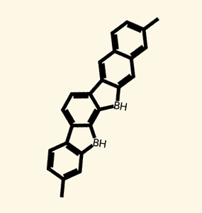 Cc1ccc2c(c1)Bc1c-2ccc2c1Bc1cc3cc(C)ccc3cc1-2